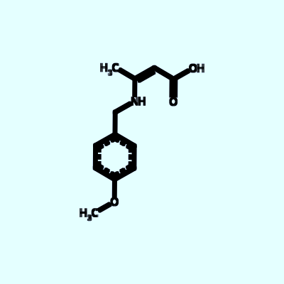 COc1ccc(CN/C(C)=C\C(=O)O)cc1